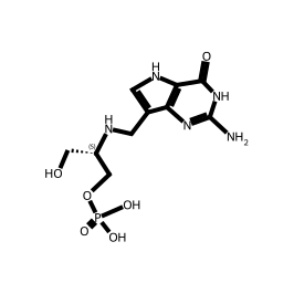 Nc1nc2c(CN[C@@H](CO)COP(=O)(O)O)c[nH]c2c(=O)[nH]1